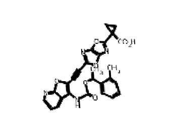 Cc1ccccc1C(C)OC(=O)Nc1c(C#Cc2nc3oc(C4(C(=O)O)CC4)nc3o2)oc2ncccc12